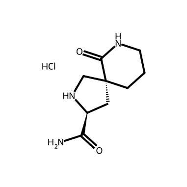 Cl.NC(=O)[C@@H]1C[C@]2(CCCNC2=O)CN1